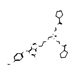 COc1ccc(Sc2nc(N)nc3c2ncn3CCOCP(=O)(OCOC(=O)C2CCCC2)OCOC(=O)C2CCCC2)cc1